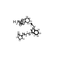 C#CCn1cc(SCCN=C2CCCN2C)c2ccccc21.NS(=O)(=O)OC1CCCCC1